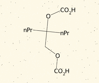 CCCC(CCC)(COC(=O)O)OC(=O)O